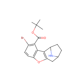 CC(C)(C)OC(=O)c1c(Br)ccc2oc3c(c12)C1CCC(C3)N1